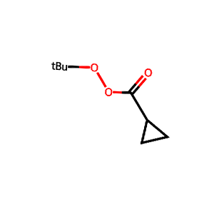 CC(C)(C)OOC(=O)C1CC1